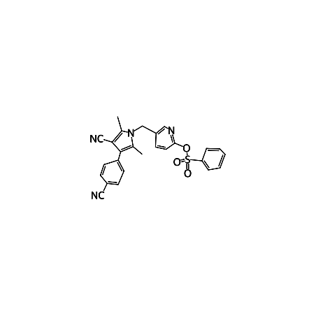 Cc1c(C#N)c(-c2ccc(C#N)cc2)c(C)n1Cc1ccc(OS(=O)(=O)c2ccccc2)nc1